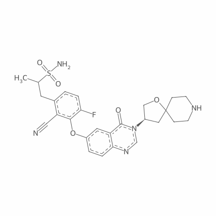 CC(Cc1ccc(F)c(Oc2ccc3ncn([C@H]4COC5(CCNCC5)C4)c(=O)c3c2)c1C#N)S(N)(=O)=O